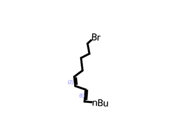 CCCC/C=C/C=C\CCCCBr